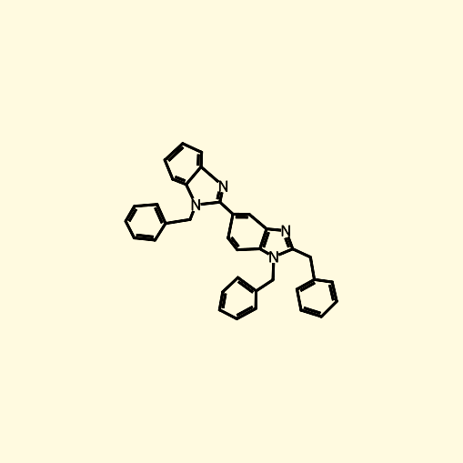 c1ccc(Cc2nc3cc(-c4nc5ccccc5n4Cc4ccccc4)ccc3n2Cc2ccccc2)cc1